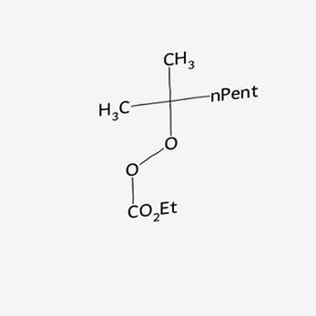 CCCCCC(C)(C)OOC(=O)OCC